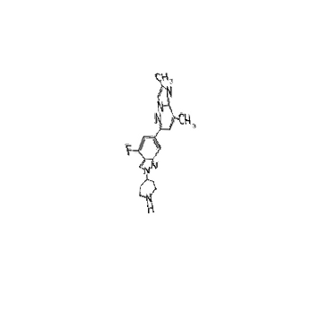 Cc1cn2nc(-c3cc(F)c4cn(C5CCNCC5)nc4c3)cc(C)c2n1